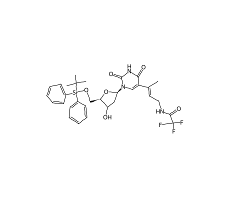 C/C(=C\CNC(=O)C(F)(F)F)c1cn([C@H]2CC(O)[C@@H](CO[Si](c3ccccc3)(c3ccccc3)C(C)(C)C)O2)c(=O)[nH]c1=O